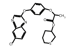 CC(Oc1ccc(Oc2cnc3cc(Cl)ccc3n2)cc1)C(=O)OC1CCCSC1